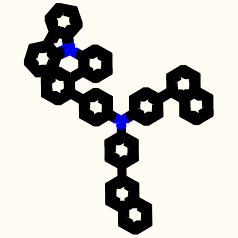 c1ccc(-c2ccccc2-n2c3ccccc3c3ccccc32)c(-c2ccc(N(c3ccc(-c4ccc5ccccc5c4)cc3)c3ccc(-c4cccc5ccccc45)cc3)cc2)c1